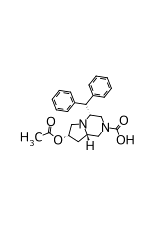 CC(=O)O[C@H]1C[C@H]2CN(C(=O)O)C[C@@H](C(c3ccccc3)c3ccccc3)N2C1